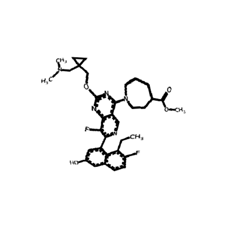 CCc1c(F)ccc2cc(O)cc(-c3ncc4c(N5CCCC(C(=O)OC)CC5)nc(OCC5(CN(C)C)CC5)nc4c3F)c12